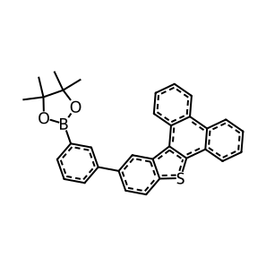 CC1(C)OB(c2cccc(-c3ccc4sc5c6ccccc6c6ccccc6c5c4c3)c2)OC1(C)C